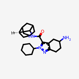 NC1CCc2nn(C3CCCCC3)c(C(=O)NC3C4CC5CC(C4)[C@@H]3C5)c2C1